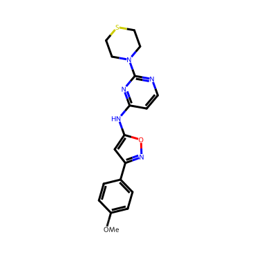 COc1ccc(-c2cc(Nc3ccnc(N4CCSCC4)n3)on2)cc1